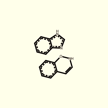 C1=Cc2ccccc2ON1.c1ccc2[nH]cnc2c1